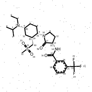 CCN(C(C)C)[C@@H]1CC[C@H](N2CC[C@H](NC(=O)c3cccc(C(F)(F)F)c3)C2=O)[C@H](CS(C)(=O)=O)C1